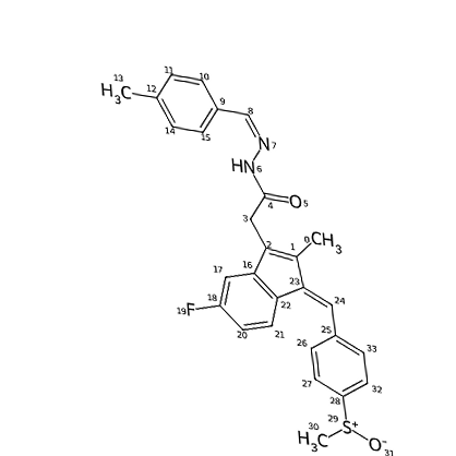 CC1=C(CC(=O)N/N=C\c2ccc(C)cc2)c2cc(F)ccc2/C1=C\c1ccc([S+](C)[O-])cc1